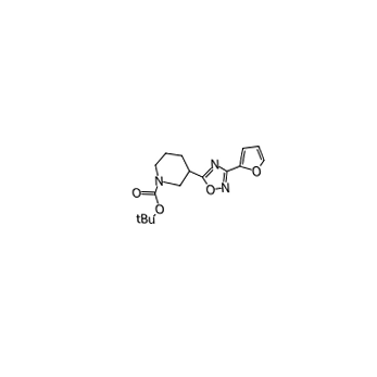 CC(C)(C)OC(=O)N1CCCC(c2nc(-c3ccco3)no2)C1